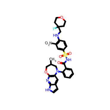 CC1COc2nc3[nH]ccc3cc2N(c2ccccc2C(=O)NS(=O)(=O)c2ccc(NCC3(F)CCOCC3)c([N+](=O)[O-])c2)C1